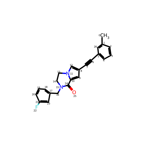 Cc1cccc(C#Cc2cc3n(c2)CCN(Cc2cccc(F)c2)C3=O)c1